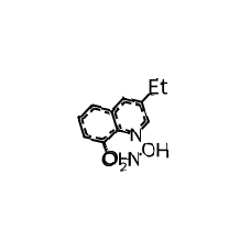 CCc1cnc2c(O)cccc2c1.O=[N+]([O-])O